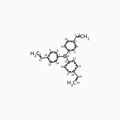 C=Cc1cc[c]([Bi]([c]2ccc(C=C)cc2)[c]2ccc(C=C)cc2)cc1